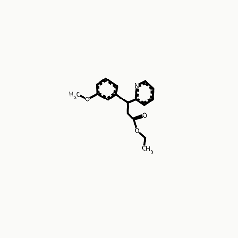 CCOC(=O)CC(c1cccc(OC)c1)c1ccccn1